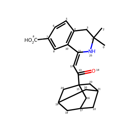 CC1(C)Cc2ccc(C(=O)O)cc2C(=CC(=O)C23CC4CC(CC(C4)C2)C3)N1